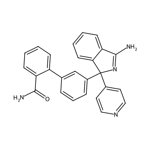 NC(=O)c1ccccc1-c1cccc(C2(c3ccncc3)N=C(N)c3ccccc32)c1